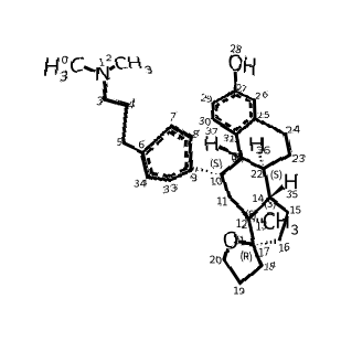 CN(C)CCCc1ccc([C@H]2C[C@@]3(C)[C@@H](CC[C@@]34CCCO4)[C@@H]3CCc4cc(O)ccc4[C@H]32)cc1